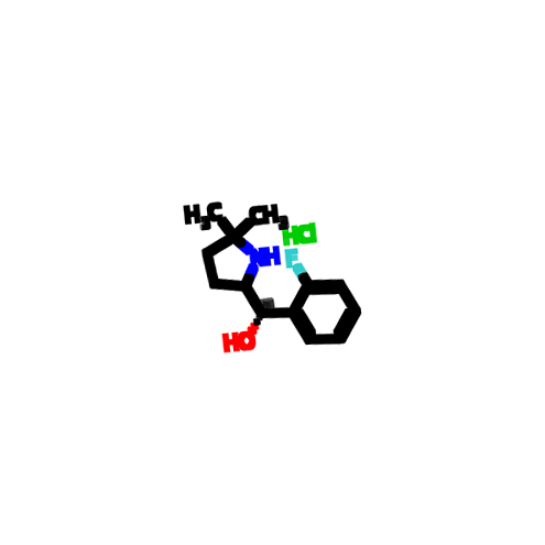 CC1(C)CCC([C@@H](O)c2ccccc2F)N1.Cl